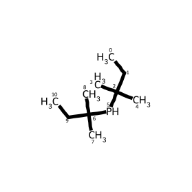 CCC(C)(C)PC(C)(C)CC